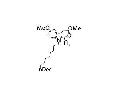 CCCCCCCCCCCCCCCCCCn1c(C)c(CC(=O)OC)c2cc(OC)ccc21